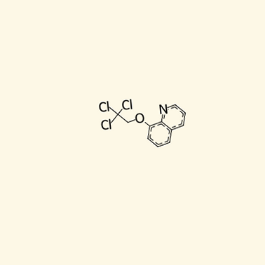 ClC(Cl)(Cl)COc1cccc2cccnc12